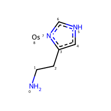 NCCc1c[nH]cn1.[Os]